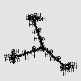 CC(=O)NC1C(OCCCCC(=O)NCCCNC(=O)CCOCC(N)(COCCC(=O)NCCCNC(=O)CCCCOC2OC(CO)C(O)C(O)C2NC(C)=O)COCCC(=O)NCCCNC(=O)CCCCOC2OC(CO)C(O)C(O)C2NC(C)=O)CC(CO)C(O)C1O